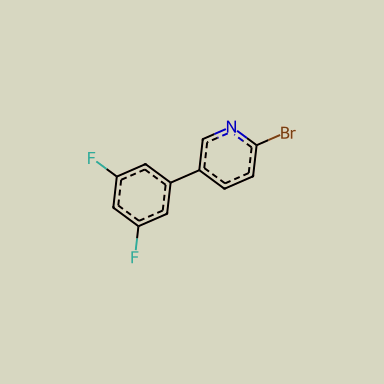 Fc1cc(F)cc(-c2ccc(Br)nc2)c1